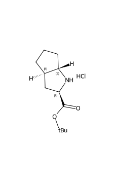 CC(C)(C)OC(=O)[C@H]1C[C@H]2CCC[C@@H]2N1.Cl